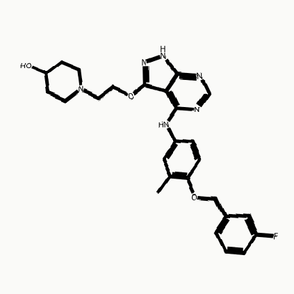 Cc1cc(Nc2ncnc3[nH]nc(OCCN4CCC(O)CC4)c23)ccc1OCc1cccc(F)c1